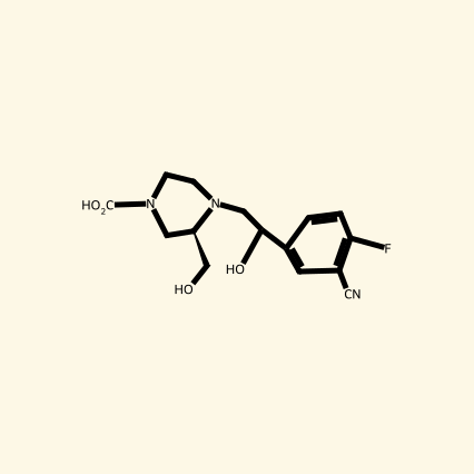 N#Cc1cc(C(O)CN2CCN(C(=O)O)C[C@@H]2CO)ccc1F